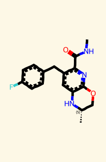 CNC(=O)c1nc2c(cc1Cc1ccc(F)cc1)N[C@@H](C)CO2